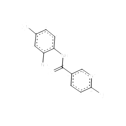 O=C(Nc1ccc([N+](=O)[O-])cc1[N+](=O)[O-])c1ccc(Cl)nc1